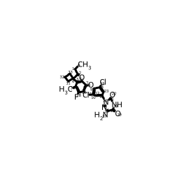 CCC(=O)C1(c2cc(Oc3c(Cl)cc(-n4nc(N)c(=O)[nH]c4=O)cc3Cl)cc(F)c2C)CCC1